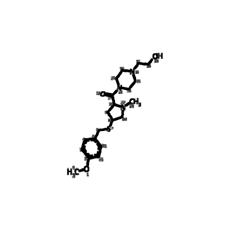 COc1ccc(CSC2CC(C(=O)N3CCN(CCO)CC3)N(C)C2)cc1